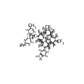 Cc1ccc([I+]c2ccc(C(C)C)cc2)cc1.Fc1c(F)c([B-](c2c(F)c(F)c(C(F)(F)F)c(F)c2F)(c2c(F)c(F)c(C(F)(F)F)c(F)c2F)c2c(F)c(F)c(C(F)(F)F)c(F)c2F)c(F)c(F)c1-c1ccc2c(c1)CC2